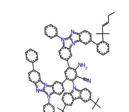 CC/C=C/C(C)(C)c1ccccc1-c1ccc2nc3n(-c4ccccc4)c4ccc(-c5cc(-c6ccc7c(c6)n6c8cc(-c9ccccc9)ccc8nc6n7-c6ccccc6)c(-n6c7ccc(C(C)(C)C)cc7c7cc(C(C)(C)C)ccc76)c(C#N)c5N)cc4n3c2c1